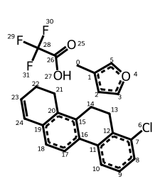 Cc1ccoc1.Clc1cccc2c1CCc1c-2ccc2c1CCC=C2.O=C(O)C(F)(F)F